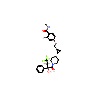 CNC(=O)c1ccc(OC[C@H]2C[C@@H]2C2CCN(C(=O)C(O)(c3ccccc3)C(F)(F)C(F)(F)F)CC2)cc1Cl